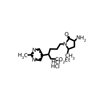 CCOC(=O)CC(CCCN1C(=O)C(N)CC1C)c1cnc(C)nc1.Cl.Cl